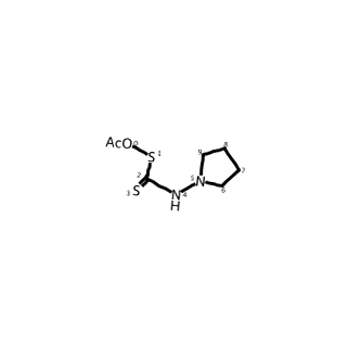 CC(=O)OSC(=S)NN1CCCC1